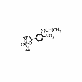 CC(OP(=O)(N1CC1)N1CC1)c1ccc([N+](=O)[O-])c(N(C)O)c1